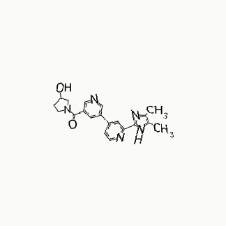 Cc1nc(-c2cc(-c3cncc(C(=O)N4CCC(O)C4)c3)ccn2)[nH]c1C